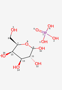 O=P(O)(O)O.OC[C@H]1OC(O)[C@H](O)[C@@H](O)[C@H]1O